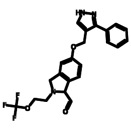 O=CC1c2ccc(OCc3c[nH]nc3-c3ccccc3)cc2CN1CCOC(F)(F)F